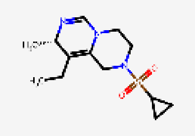 CCC1=C2CN(S(=O)(=O)C3CC3)CCN2C=N[C@H]1C